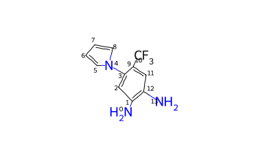 Nc1cc(-n2cccc2)c(C(F)(F)F)cc1N